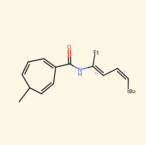 CC/C(=C\C=C/C(C)(C)C)NC(=O)C1=CC=CC(C)C=C1